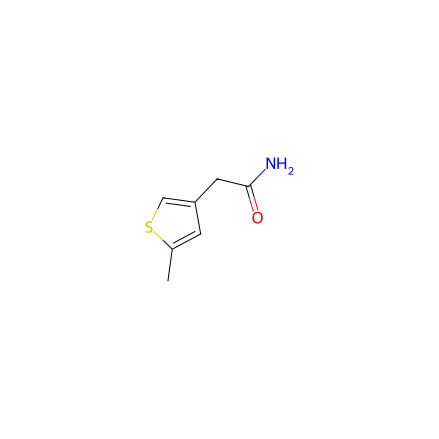 Cc1cc(CC(N)=O)cs1